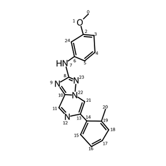 COc1cccc(Nc2nc3cnc(-c4ccccc4C)cn3n2)c1